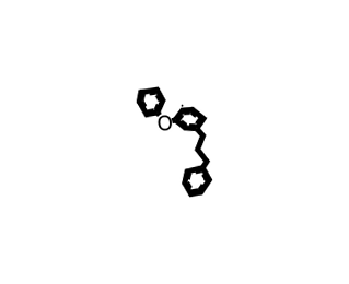 [c]1ccc(CCCc2ccccc2)cc1Oc1ccccc1